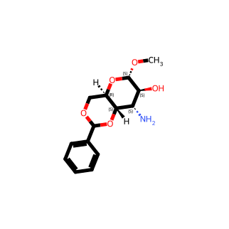 CO[C@H]1O[C@@H]2COC(c3ccccc3)O[C@H]2[C@@H](N)[C@@H]1O